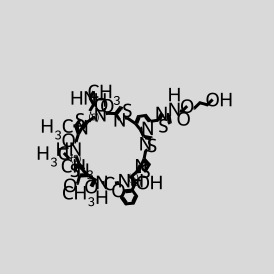 CNC(=O)C[C@@H]1NC(=O)c2csc(n2)-c2ccc(-c3nc(NC(=O)OCCCO)cs3)nc2-c2csc(n2)-c2csc(n2)[C@H]([C@@H](O)c2ccccc2)NC(=O)CNC(=O)c2nc(sc2COC)[C@H](C(C)C)NC(=O)c2nc1sc2C